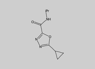 CC(C)NC(=O)c1nnc(C2CC2)o1